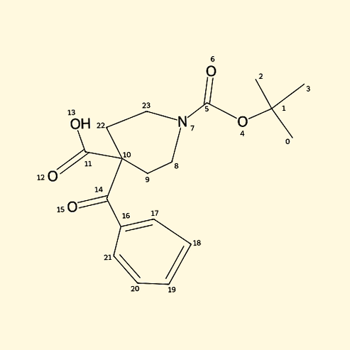 CC(C)(C)OC(=O)N1CCC(C(=O)O)(C(=O)c2ccccc2)CC1